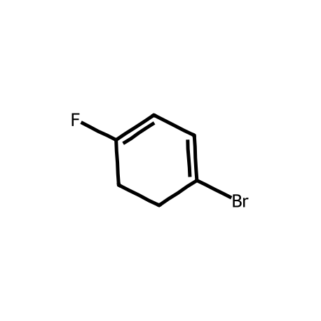 FC1=CC=C(Br)CC1